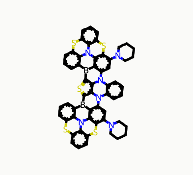 c1cc2c3c(c1)Sc1c(N4CCCCC4)cc4c5c1N3c1c(cccc1B5c1sc3c5c1N4c1ccccc1N5c1cc(N4CCCCC4)c4c5c1B3c1cccc3c1N5c1c(cccc1S4)S3)S2